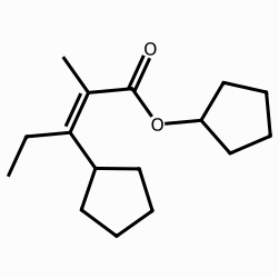 CCC(=C(C)C(=O)OC1CCCC1)C1CCCC1